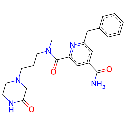 CN(CCCN1CCNC(=O)C1)C(=O)c1cc(C(N)=O)cc(Cc2ccccc2)n1